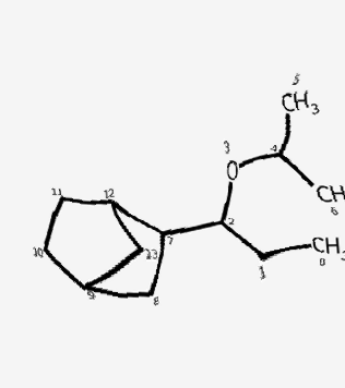 CCC(OC(C)C)C1CC2CCC1C2